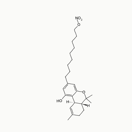 CC1=C[C@H]2c3c(O)cc(CCCCCCCCCO[N+](=O)[O-])cc3OC(C)(C)[C@@H]2CC1